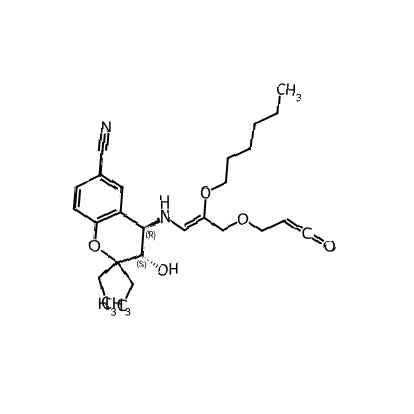 CCCCCCOC(=CN[C@@H]1c2cc(C#N)ccc2OC(CC)(CC)[C@H]1O)COCC=C=O